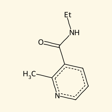 CCNC(=O)c1cccnc1C